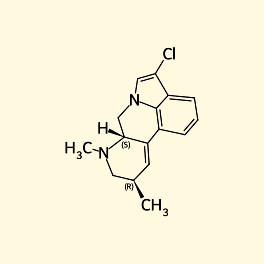 C[C@@H]1C=C2c3cccc4c(Cl)cn(c34)C[C@H]2N(C)C1